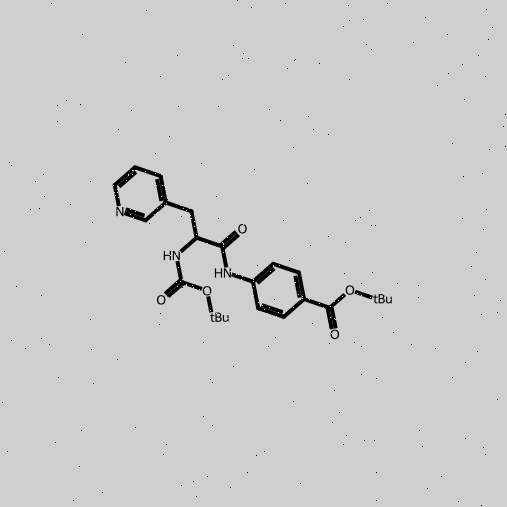 CC(C)(C)OC(=O)NC(Cc1cccnc1)C(=O)Nc1ccc(C(=O)OC(C)(C)C)cc1